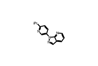 CC(C)c1ccc(-n2ncc3cccnc32)cn1